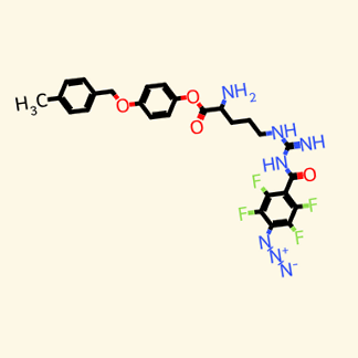 Cc1ccc(COc2ccc(OC(=O)C(N)CCCNC(=N)NC(=O)c3c(F)c(F)c(N=[N+]=[N-])c(F)c3F)cc2)cc1